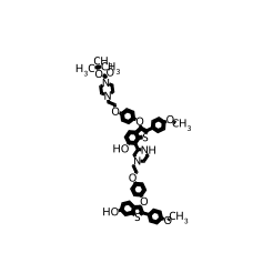 COc1ccc(-c2sc3cc(O)ccc3c2Oc2ccc(OCCN3CCNC(c4c(O)ccc5c(Oc6ccc(OCCN7CCN(C(=O)OC(C)(C)C)CC7)cc6)c(-c6ccc(OC)cc6)sc45)C3)cc2)cc1